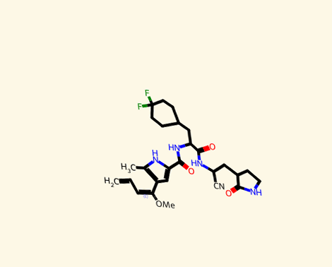 C=C/C=C(/OC)c1cc(C(=O)NC(CC2CCC(F)(F)CC2)C(=O)NC(C#N)CC2CCNC2=O)[nH]c1C